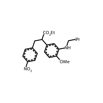 CCOC(=O)C(Cc1ccc([N+](=O)[O-])cc1)c1ccc(OC)c(NCC(C)C)c1